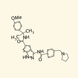 COc1ccc(C(C)(C)NC(=O)c2cc3c(NC(=O)c4ccc(CN5CCCC5)cc4)n[nH]c3s2)cc1